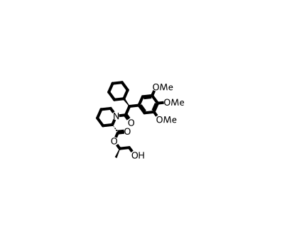 COc1cc([C@@H](C(=O)N2CCCC[C@H]2C(=O)O[C@H](C)CO)C2CCCCC2)cc(OC)c1OC